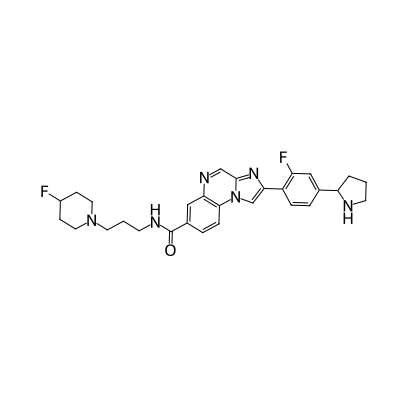 O=C(NCCCN1CCC(F)CC1)c1ccc2c(c1)ncc1nc(-c3ccc(C4CCCN4)cc3F)cn12